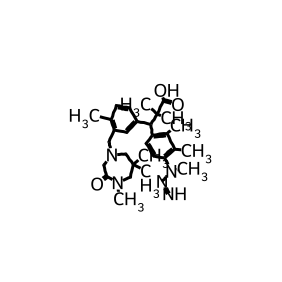 Cc1ccc(C(c2ccc(N(C)N=N)c(C)c2C)C(C)(C)C(=O)O)cc1CN1CC(=O)N(C)CC(C)(C)C1